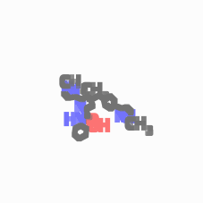 Cc1c(Cc2ccc(-c3ccn(C)n3)cc2)cc(C(=O)N[C@H]2CCCC[C@@H]2O)nc1-c1ccn(C)n1